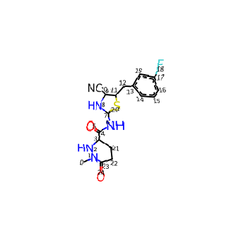 CN1NC(C(=O)NC2NC(C#N)C(Cc3cccc(F)c3)S2)CCC1=O